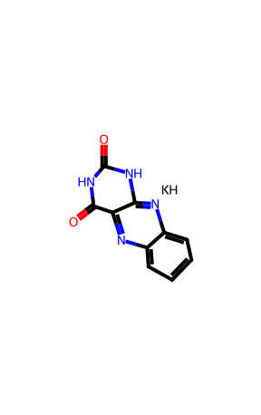 O=c1[nH]c(=O)c2nc3ccccc3nc2[nH]1.[KH]